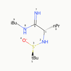 CCC[C@H](N[S@+]([O-])C(C)(C)C)C(=N)NC(C)CC